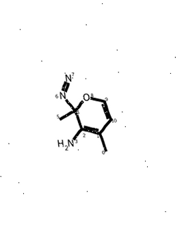 CC1=C(N)C(C)(N=[N])OC=C1